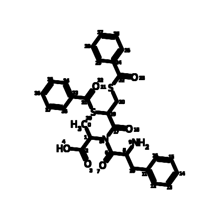 CC(C(=O)O)N(C(=O)C(N)Cc1ccccc1)C(=O)C(CSC(=O)c1ccccc1)SC(=O)c1ccccc1